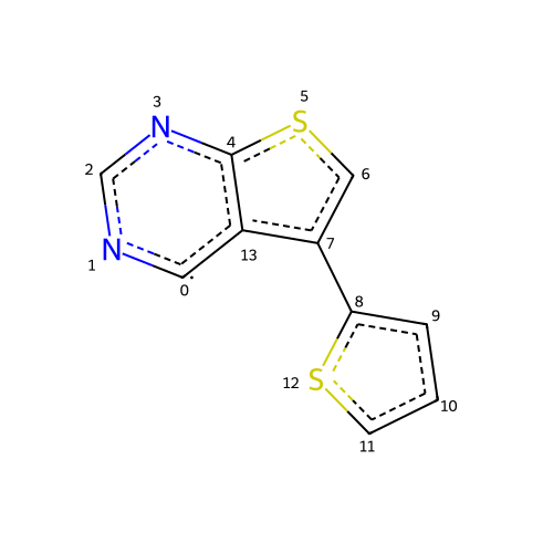 [c]1ncnc2scc(-c3cccs3)c12